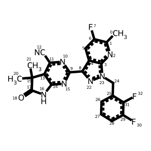 Cc1nc2c(cc1F)c(-c1nc(C#N)c3c(n1)NC(=O)C3(C)C)nn2Cc1cccc(F)c1F